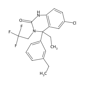 CCc1cccc(C2(CC)c3cc(Cl)ccc3NC(=O)N2CC(F)(F)F)c1